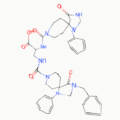 O=C(O)C(CNC(=O)N1CCC2(CC1)C(=O)N(Cc1ccccc1)CN2c1ccccc1)NC(=O)N1CCC2(CC1)C(=O)NCN2c1ccccc1